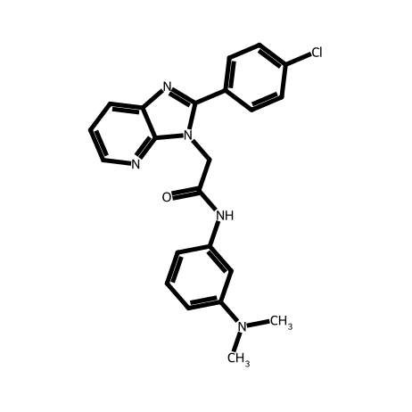 CN(C)c1cccc(NC(=O)Cn2c(-c3ccc(Cl)cc3)nc3cccnc32)c1